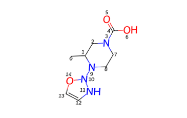 CC1CN(C(=O)O)CCN1N1NC=CO1